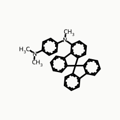 CN(C)c1ccc(N(C)c2cccc3c2-c2ccccc2C32c3ccccc3-c3ccccc32)cc1